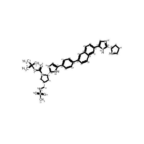 CC(C)(C)OC(=O)N1C[C@@H](CNS(C)(=O)=O)C[C@H]1c1ncc(-c2ccc(-c3ccc4cc(-c5cnc([C@@H]6CCCN6)[nH]5)ccc4c3)cc2)[nH]1